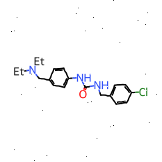 CCN(CC)Cc1ccc(NC(=O)NCc2ccc(Cl)cc2)cc1